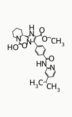 CCOC(=O)c1[nH]c([C@@H]2CCCCN2C(=O)O)nc1-c1ccc(C(=O)Nc2cc(C(C)C)ccn2)cc1